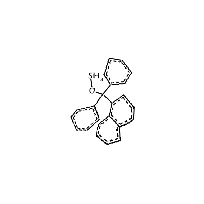 [SiH3]OC(c1ccccc1)(c1ccccc1)c1cccc2ccccc12